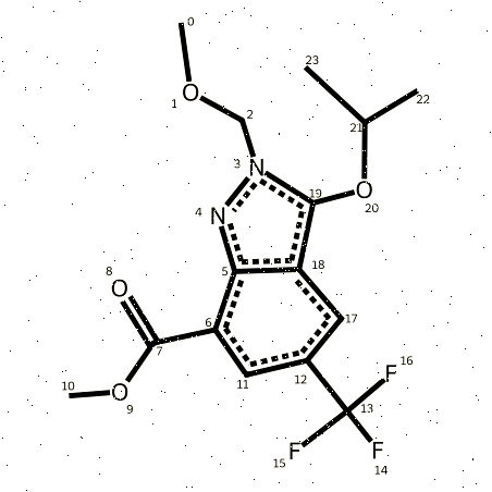 COCn1nc2c(C(=O)OC)cc(C(F)(F)F)cc2c1OC(C)C